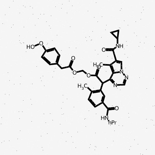 CCCNC(=O)c1ccc(C)c(C(C(=O)OCOC(=O)Cc2ccc(OO)cc2)c2ncnn3cc(C(=O)NC4CC4)c(C)c23)c1